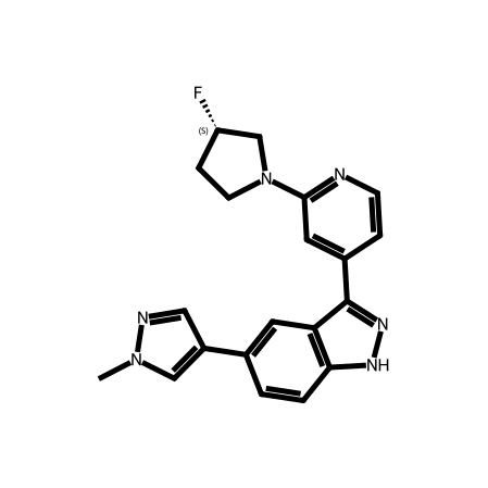 Cn1cc(-c2ccc3[nH]nc(-c4ccnc(N5CC[C@H](F)C5)c4)c3c2)cn1